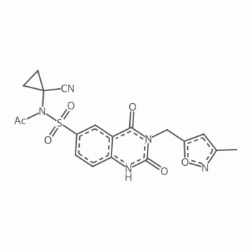 CC(=O)N(C1(C#N)CC1)S(=O)(=O)c1ccc2[nH]c(=O)n(Cc3cc(C)no3)c(=O)c2c1